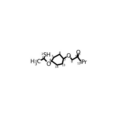 CC(S)OC1CCC(OCC(=O)C(C)C)CC1